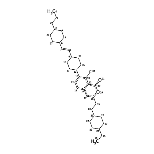 CCCC1CCC(/C=C/C2CCC(c3ccc4cc(CCC5CCC(CC)CC5)oc(=O)c4c3F)CC2)CC1